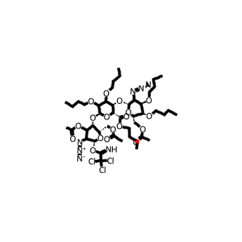 CCCCOC(=O)[C@@H]1O[C@@H](O[C@H]2C(OC(C)=O)C(N=[N+]=[N-])[C@@H](OC(=N)C(Cl)(Cl)Cl)O[C@H]2COC(C)=O)C(OCCCC)C(OCCCC)[C@@H]1O[C@H]1O[C@@H](COC(C)=O)[C@@H](OCCCC)[C@H](OCCCC)C1N=[N+]=[N-]